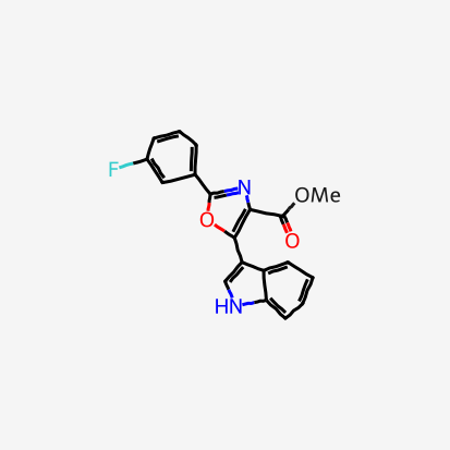 COC(=O)c1nc(-c2cccc(F)c2)oc1-c1c[nH]c2ccccc12